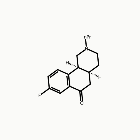 CCCN1CC[C@H]2CC(=O)c3cc(F)ccc3[C@H]2C1